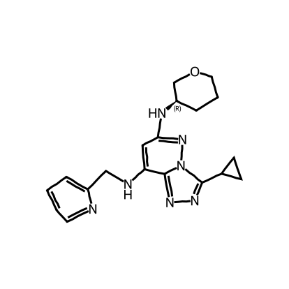 c1ccc(CNc2cc(N[C@@H]3CCCOC3)nn3c(C4CC4)nnc23)nc1